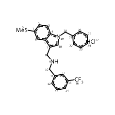 CSc1ccc2c(c1)c(CNCc1cccc(C(F)(F)F)c1)cn2Cc1ccccc1.Cl